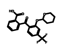 O=C(O)c1ccccc1C(=O)c1ccc(C(F)(F)F)cc1OC1CCCCO1